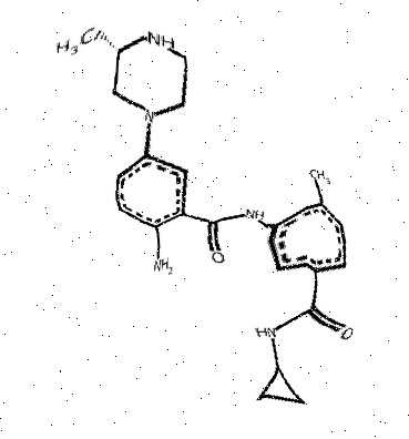 Cc1ccc(C(=O)NC2CC2)cc1NC(=O)c1cc(N2CCN[C@@H](C)C2)ccc1N